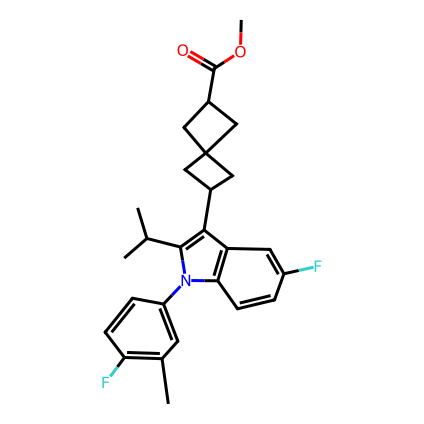 COC(=O)C1CC2(C1)CC(c1c(C(C)C)n(-c3ccc(F)c(C)c3)c3ccc(F)cc13)C2